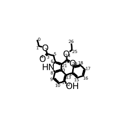 CCOC(=O)Cc1[nH]c2ccc(O)c(-c3ccccc3)c2c1C(=O)OCC